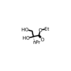 CCC[C@](O)(CO)C(=O)OCC